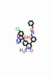 Cn1cncc1C(O)(c1ccc(Cl)cc1)c1ccc2c(c1)c(-c1cccc(C=NOCc3ccccc3)c1)cc(=O)n2C